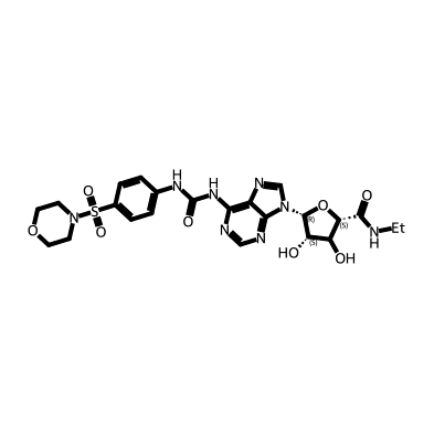 CCNC(=O)[C@H]1O[C@@H](n2cnc3c(NC(=O)Nc4ccc(S(=O)(=O)N5CCOCC5)cc4)ncnc32)[C@@H](O)C1O